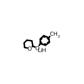 Cc1c[c]c(OC2CCCCO2)cc1.[LiH]